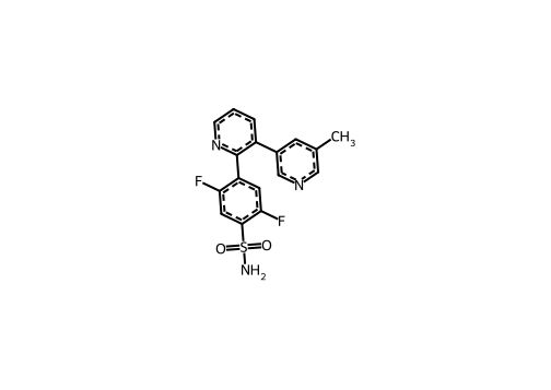 Cc1cncc(-c2cccnc2-c2cc(F)c(S(N)(=O)=O)cc2F)c1